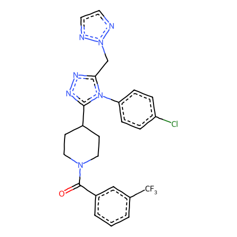 O=C(c1cccc(C(F)(F)F)c1)N1CCC(c2nnc(Cn3nccn3)n2-c2ccc(Cl)cc2)CC1